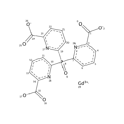 O=C([O-])c1cccc(P(=O)(c2cccc(C(=O)[O-])n2)c2cccc(C(=O)[O-])n2)n1.[Gd+3]